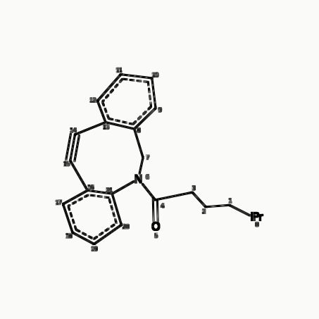 CC(C)CCCC(=O)N1Cc2ccccc2C#Cc2ccccc21